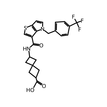 O=C(NC1CC2(C1)CC(C(=O)O)C2)c1csc2ccn(Cc3ccc(C(F)(F)F)cc3)c12